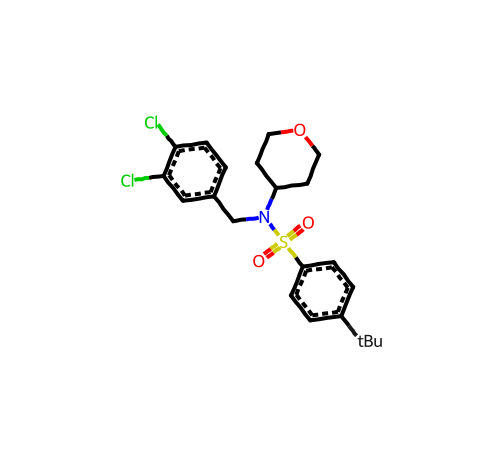 CC(C)(C)c1ccc(S(=O)(=O)N(Cc2ccc(Cl)c(Cl)c2)C2CCOCC2)cc1